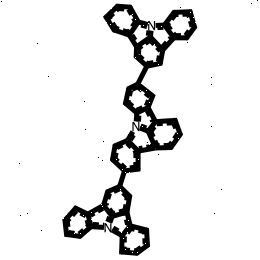 c1ccc2c(c1)c1cc(-c3ccc4c(c3)c3cccc5c6cc(-c7cc8c9ccccc9n9c%10ccccc%10c(c7)c89)ccc6n4c35)cc3c4ccccc4n2c13